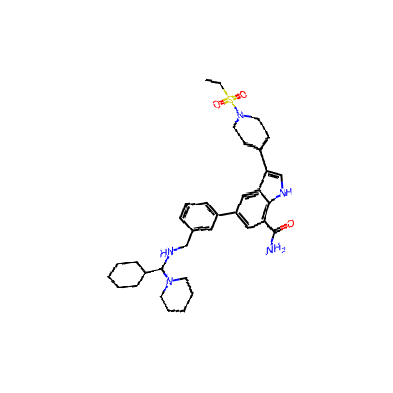 CCS(=O)(=O)N1CCC(c2c[nH]c3c(C(N)=O)cc(-c4cccc(CNC(C5CCCCC5)N5CCCCC5)c4)cc23)CC1